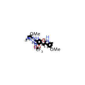 COc1ccc2c(c1)[C@]1(C[C@H]1c1ccc3c(Nc4nn(C)cc4OC)n[nH]c3c1OC(=O)C(F)(F)F)C(=O)N2